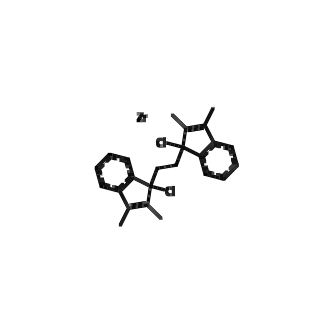 CC1=C(C)C(Cl)(CCC2(Cl)C(C)=C(C)c3ccccc32)c2ccccc21.[Zr]